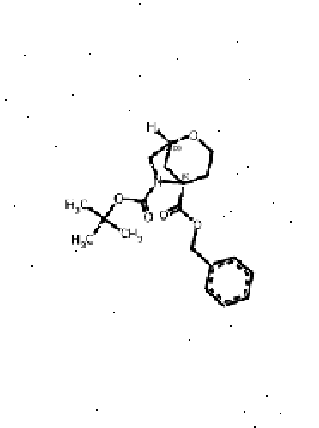 CC(C)(C)OC(=O)N1C[C@H]2C[C@]1(C(=O)OCc1ccccc1)CCO2